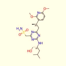 COc1ccc([C@H](C)Cc2nc(CS(N)(=O)=O)nc(N[C@@H](CO)CC(C)C)n2)c(OC)n1